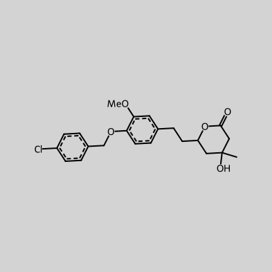 COc1cc(CCC2CC(C)(O)CC(=O)O2)ccc1OCc1ccc(Cl)cc1